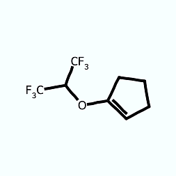 FC(F)(F)C(OC1=CCCC1)C(F)(F)F